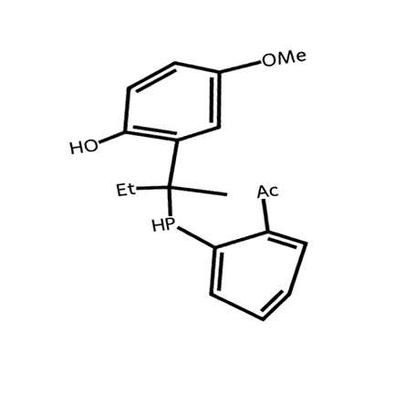 CCC(C)(Pc1ccccc1C(C)=O)c1cc(OC)ccc1O